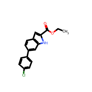 CCOC(=O)c1cc2ccc(-c3ccc(Cl)cc3)cc2[nH]1